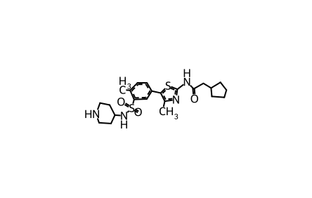 Cc1ccc(-c2sc(NC(=O)CC3CCCC3)nc2C)cc1S(=O)(=O)NC1CCNCC1